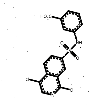 O=C(O)c1cccc(NS(=O)(=O)c2ccc3c(Cl)cnc(Cl)c3c2)c1